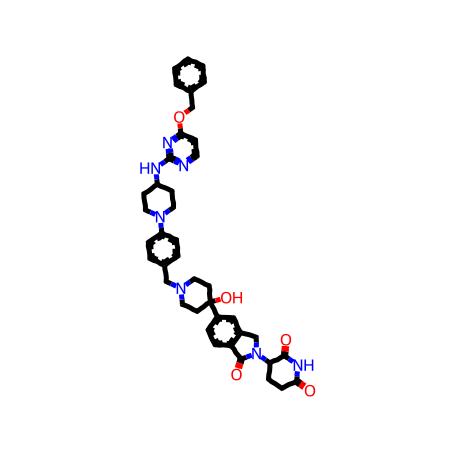 O=C1CCC(N2Cc3cc(C4(O)CCN(Cc5ccc(N6CCC(Nc7nccc(OCc8ccccc8)n7)CC6)cc5)CC4)ccc3C2=O)C(=O)N1